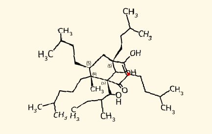 CCC(C)C(O)[C@@]12C(=O)C(CCC(C)C)=C(O)[C@@](CCC(C)C)(C[C@H](CCC(C)C)[C@@]1(C)CCCC(C)C)C2O